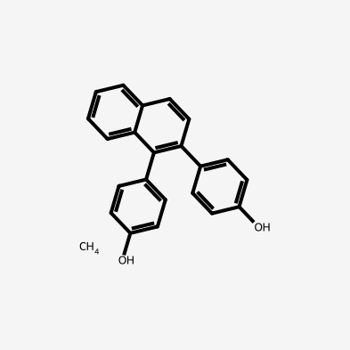 C.Oc1ccc(-c2ccc3ccccc3c2-c2ccc(O)cc2)cc1